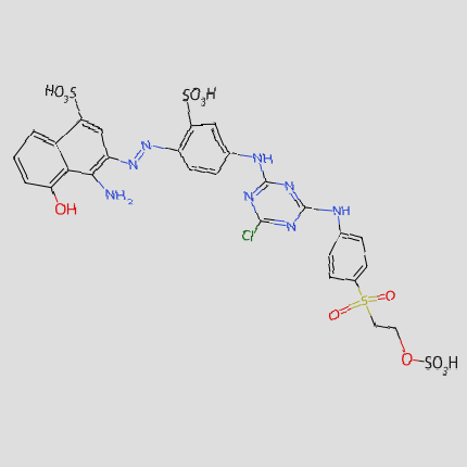 Nc1c(N=Nc2ccc(Nc3nc(Cl)nc(Nc4ccc(S(=O)(=O)CCOS(=O)(=O)O)cc4)n3)cc2S(=O)(=O)O)cc(S(=O)(=O)O)c2cccc(O)c12